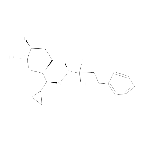 CC(C)(CCc1ccccc1)[S@+]([O-])N[C@@H](C1CC1)[C@@H]1CC[C@H](I)[C@@H](O)O1